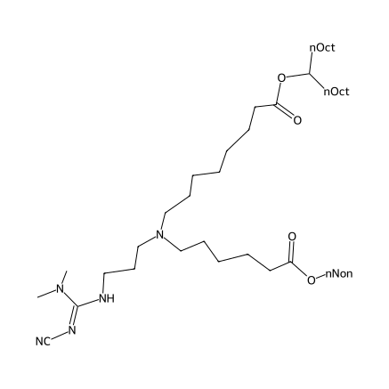 CCCCCCCCCOC(=O)CCCCCN(CCCCCCCC(=O)OC(CCCCCCCC)CCCCCCCC)CCCN/C(=N/C#N)N(C)C